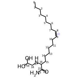 CCCCCCCC/C=C\CCCCCCC(NCC(O)O)C(N)=O